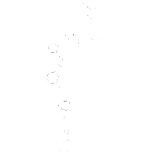 COC(=O)[C@H](CCCNC(C)=N)NC(=O)c1sccc1NS(=O)(=O)c1cccc(NCc2csc(N3CCN(C(=O)OC(C)(C)C)CC3)n2)c1